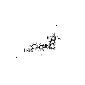 CCn1c(=S)[nH]c2cc3c(NCc4ccc(N5CCCC(CO)C5)cc4)ncnc3cc21